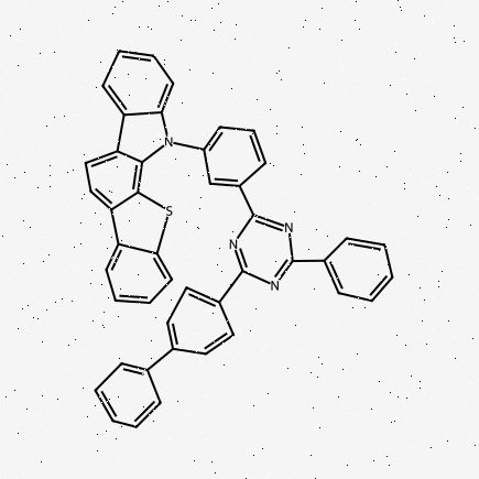 c1ccc(-c2ccc(-c3nc(-c4ccccc4)nc(-c4cccc(-n5c6ccccc6c6ccc7c8ccccc8sc7c65)c4)n3)cc2)cc1